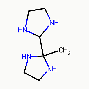 CC1([C]2NCCN2)NCCN1